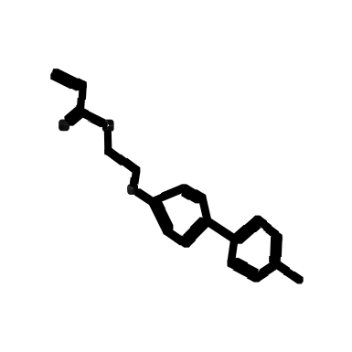 C=CC(=O)OCCOc1ccc(-c2ccc(C)cc2)cc1